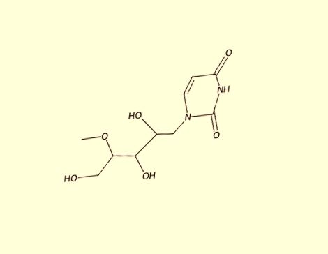 COC(CO)C(O)C(O)Cn1ccc(=O)[nH]c1=O